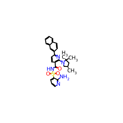 C[C@H]1CN(c2nc(-c3ccc4ccccc4c3)ccc2C(=O)NS(=O)(=O)c2cccnc2N)C(C)(C)C1